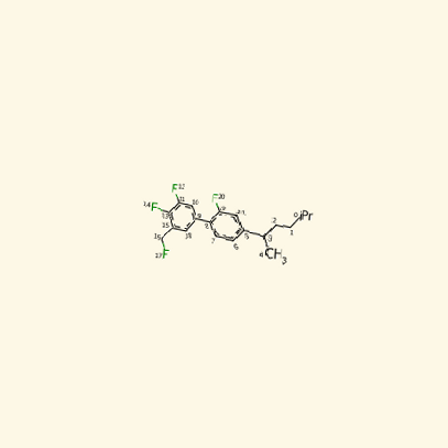 CC(C)CCC(C)c1ccc(-c2cc(F)c(F)c(CF)c2)c(F)c1